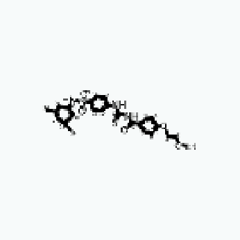 CCOCCOc1ccc(C(=O)NC(=S)Nc2ccc(S(=O)(=O)Nc3cc(C)cc(C)c3)cc2)cc1